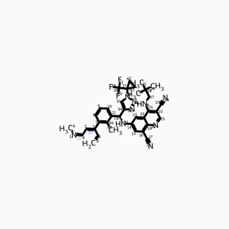 C=C/C(=C\C=N/C)c1cccc([C@H](Nc2cc(C#N)c3ncc(C#N)c(NCC(C)(C)C)c3c2)c2cn(C3(C(F)(F)F)CC3)nn2)c1C